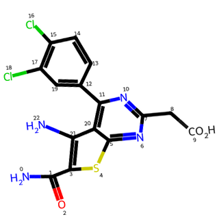 NC(=O)c1sc2nc(CC(=O)O)nc(-c3ccc(Cl)c(Cl)c3)c2c1N